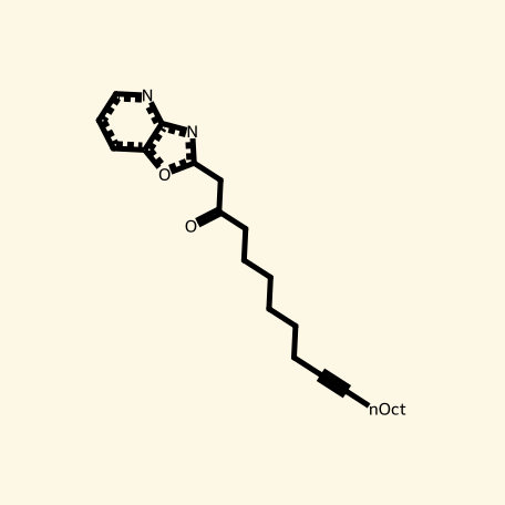 CCCCCCCCC#CCCCCCCC(=O)Cc1nc2ncccc2o1